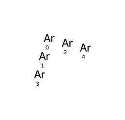 [Ar].[Ar].[Ar].[Ar].[Ar]